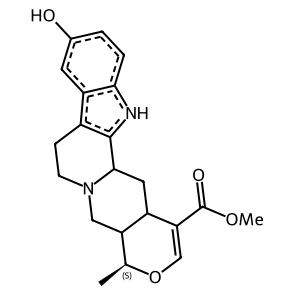 COC(=O)C1=CO[C@@H](C)C2CN3CCc4c([nH]c5ccc(O)cc45)C3CC12